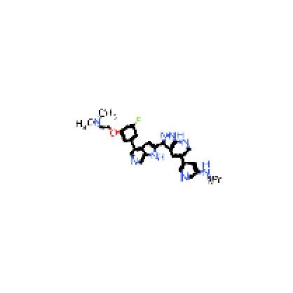 CC(C)Nc1cncc(-c2cnc3[nH]nc(-c4cc5c(-c6cc(F)cc(OCCN(C)C)c6)cncc5[nH]4)c3c2)c1